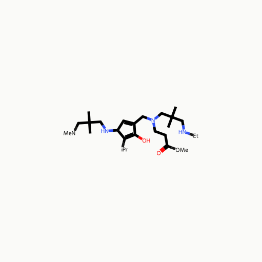 CCNCC(C)(C)CN(CCC(=O)OC)CC1=CC(NCC(C)(C)CNC)C(C(C)C)=C1O